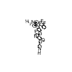 COc1cc2c(Oc3ccc(N(Cc4ccccc4C(F)(F)F)C(=O)C(N)=O)cc3F)ccnc2cc1OCC1CCNCC1